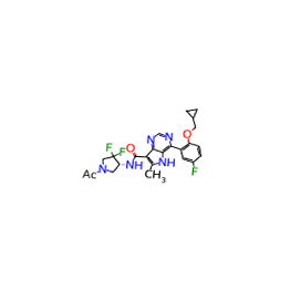 CC(=O)N1C[C@@H](NC(=O)c2c(C)[nH]c3c(-c4cc(F)ccc4OCC4CC4)ncnc23)C(F)(F)C1